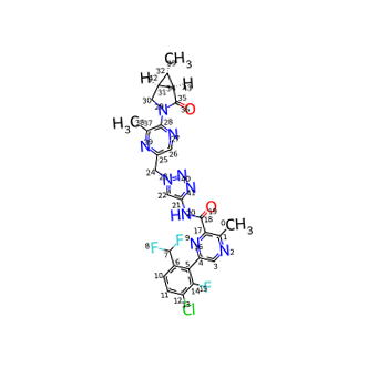 Cc1ncc(-c2c(C(F)F)ccc(Cl)c2F)nc1C(=O)Nc1cn(Cc2cnc(N3C[C@H]4[C@H](C)[C@H]4C3=O)c(C)n2)nn1